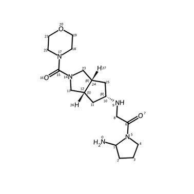 NC1CCCN1C(=O)CN[C@@H]1C[C@@H]2CN(C(=O)N3CCOCC3)C[C@@H]2C1